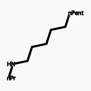 CCCCCCCCCCNCCC